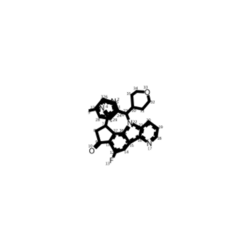 Cc1nnn(C)c1C1CC(=O)c2c(F)cc3c4ncccc4n(C(c4ccccc4)C4CCOCC4)c3c21